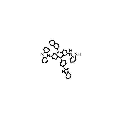 Sc1ccccc1Nc1ccc2c(-c3ccc4ccccc4c3)c3cc(N4c5ccccc5Sc5ccccc54)ccc3c(-c3ccc(-c4nc5ccccc5s4)cc3)c2c1